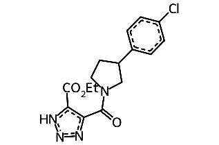 CCOC(=O)c1[nH]nnc1C(=O)N1CCC(c2ccc(Cl)cc2)C1